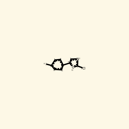 Clc1ncc(-c2ccc(I)cc2)o1